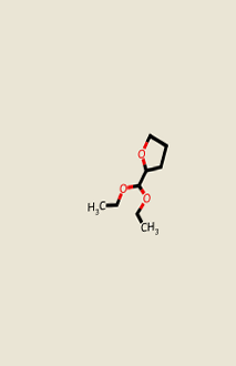 CCOC(OCC)C1CCCO1